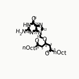 CCCCCCCCC(=O)CC(CC(=O)CCCCCCCC)OCn1cnc2c(=O)[nH]c(N)nc21